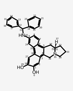 Oc1cc2c3c(c4ccc(NC(c5ccccc5)c5ccccc5)cc4c2cc1O)C[C@@H]1CCCN1C3